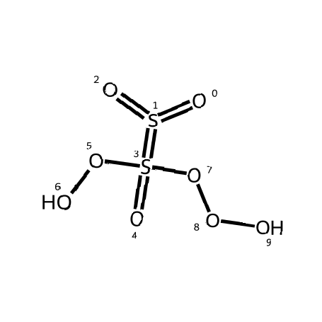 O=S(=O)=S(=O)(OO)OOO